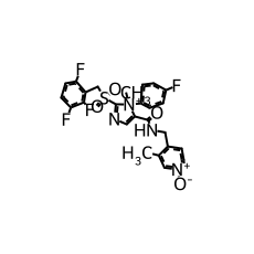 Cc1c[n+]([O-])ccc1CNC(=O)C1=CN=C(S(=O)(=O)Cc2c(F)ccc(F)c2F)[N+]1(C)c1ccc(F)cc1